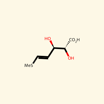 CS/C=C/[C@@H](O)[C@@H](O)C(=O)O